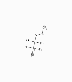 [CH2]CC(F)(F)C(F)(F)CCC(F)(F)F